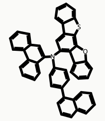 c1ccc2c(-c3ccc(N(c4cc5ccccc5c5ccccc45)c4cc5c6ccccc6sc5c5oc6ccccc6c45)cc3)cccc2c1